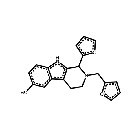 Oc1ccc2[nH]c3c(c2c1)CCN(Cc1ccco1)C3c1ccco1